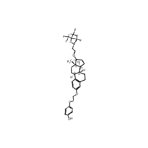 C[C@]12CC[C@@H]3c4ccc(OCCOc5ccc(O)cc5)cc4CC[C@H]3[C@@H]1CC[C@@H]2OCCCOC(C(F)(F)F)(C(F)(F)F)C(F)(F)F